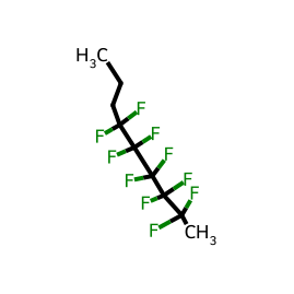 CCCC(F)(F)C(F)(F)C(F)(F)C(F)(F)C(C)(F)F